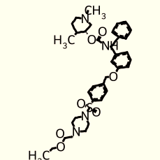 CCOC(=O)CN1CCN(S(=O)(=O)c2ccc(COc3cccc([C@@H](NC(=O)O[C@H]4CN(C)CCC4C)c4ccccc4)c3)cc2)CC1